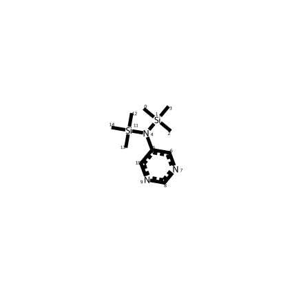 C[Si](C)(C)N(c1cncnc1)[Si](C)(C)C